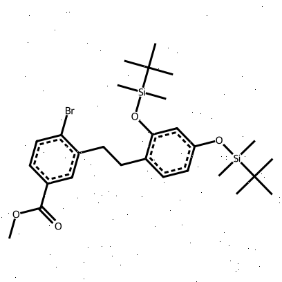 COC(=O)c1ccc(Br)c(CCc2ccc(O[Si](C)(C)C(C)(C)C)cc2O[Si](C)(C)C(C)(C)C)c1